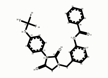 O=C(Oc1cc(CN2CC(=O)N(c3ccc(SC(F)(F)F)cc3)C2=O)ccn1)c1ccccc1